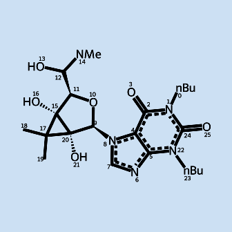 CCCCn1c(=O)c2c(ncn2[C@@H]2O[C@H](C(O)NC)[C@]3(O)C(C)(C)[C@]23O)n(CCCC)c1=O